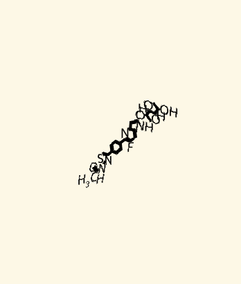 CC(=O)Nc1nc(-c2ccc(-c3nc4cc(O[C@@H]5CO[C@H]6[C@@H]5OC[C@H]6O)[nH]c4cc3F)cc2)cs1